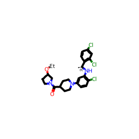 CCOC1CCN(C(=O)C2CCN(c3ccc(Cl)c(N[C@H](C)c4ccc(Cl)cc4Cl)c3)CC2)C1